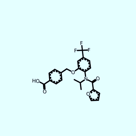 CC(C)N(C(=O)c1ccco1)c1ccc(C(F)(F)F)cc1OCc1ccc(C(=O)O)cc1